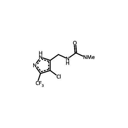 CNC(=O)NCc1[nH]nc(C(F)(F)F)c1Cl